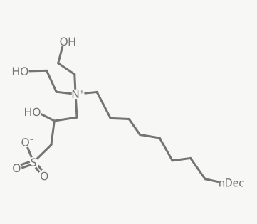 CCCCCCCCCCCCCCCCCC[N+](CCO)(CCO)CC(O)CS(=O)(=O)[O-]